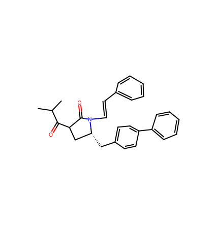 CC(C)C(=O)C1C[C@@H](Cc2ccc(-c3ccccc3)cc2)N(/C=C/c2ccccc2)C1=O